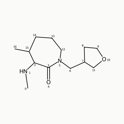 CNC1C(=O)N(CC2CCOC2)CCCC1C